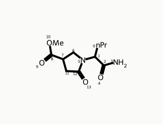 CCCC(C(N)=O)N1CC(C(=O)OC)CC1=O